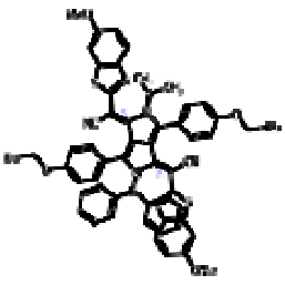 CCC(C)COc1ccc(-c2c3/c(=C(\C#N)c4nc5ccc(OC)cc5s4)n(B(c4ccccc4)c4ccccc4)c(-c4ccc(OCC(C)CC)cc4)c3/c(=C(\C#N)c3nc4ccc(OC)cc4s3)n2B(C)C)cc1